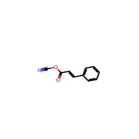 N#COC(=O)/C=C/c1ccccc1